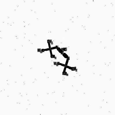 C[Si](C)(C)N=C=N[Si](C)(C)C.Cl